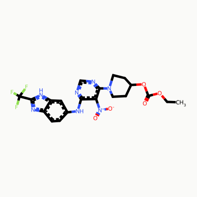 CCOC(=O)OC1CCN(c2ncnc(Nc3ccc4nc(C(F)(F)F)[nH]c4c3)c2[N+](=O)[O-])CC1